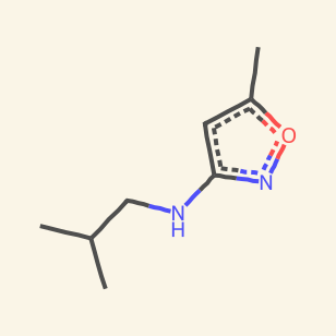 Cc1cc(NCC(C)C)no1